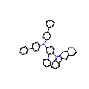 C1=CC2=Cc3c(n(-c4ccc(N(c5ccc(-c6ccccc6)cc5)c5ccc(-c6ccccc6)cc5)cc4-c4ccccc4)c4ccccc34)CC2CC1